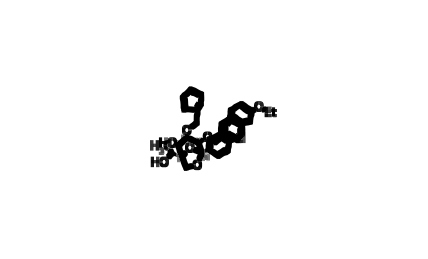 CCOc1ccc(Cc2cc([C@]34OC[C@](C(C)O)(O3)[C@H](O)[C@H](OCc3ccccc3)[C@H]4OCc3ccccc3)ccc2Cl)cc1